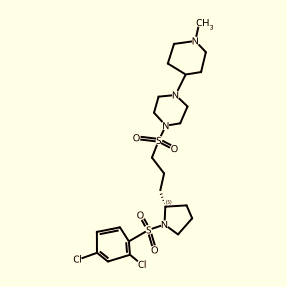 CN1CCC(N2CCN(S(=O)(=O)CCC[C@@H]3CCCN3S(=O)(=O)c3ccc(Cl)cc3Cl)CC2)CC1